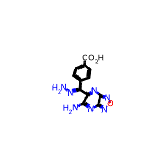 NN=C(c1ccc(C(=O)O)cc1)c1nc2nonc2nc1N